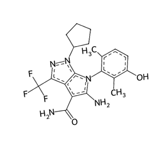 Cc1ccc(O)c(C)c1-n1c(N)c(C(N)=O)c2c(C(F)(F)F)nn(C3CCCC3)c21